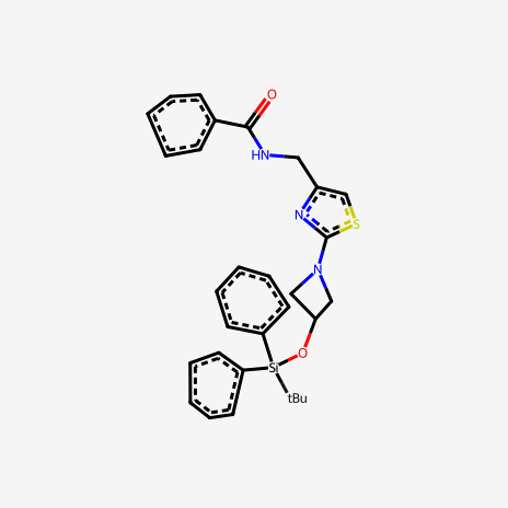 CC(C)(C)[Si](OC1CN(c2nc(CNC(=O)c3ccccc3)cs2)C1)(c1ccccc1)c1ccccc1